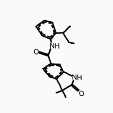 CCC(C)c1ccccc1NC(=O)c1ccc2c(c1)NC(=O)C2(C)C